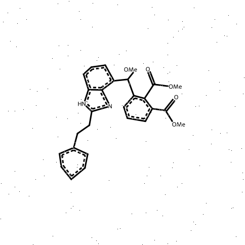 COC(=O)c1cccc(C(OC)c2cccc3[nH]c(CCc4ccccc4)nc23)c1C(=O)OC